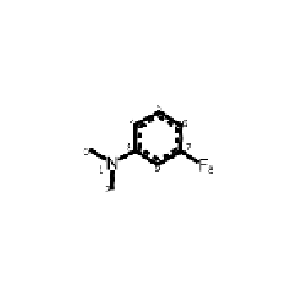 CN(C)c1[c]ccc(F)c1